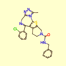 Cc1nnc2n1-c1sc3c(c1C(c1ccccc1Cl)=NC2)CCN(C(=O)NCc1ccccc1)C3